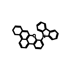 C1=Cc2cc3c4c(cccc4c2CC1)-c1cccc(-n2c4ccccc4c4ccccc42)c1O3